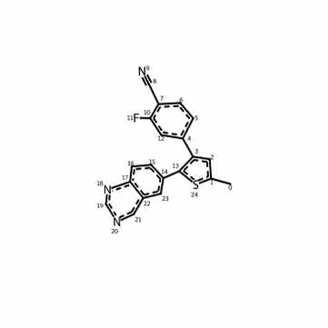 Cc1cc(-c2ccc(C#N)c(F)c2)c(-c2ccc3ncncc3c2)s1